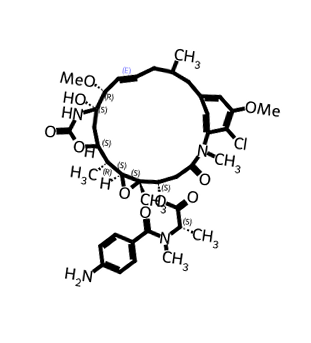 COc1cc2cc(c1Cl)N(C)C(=O)C[C@H](OC(=O)[C@H](C)N(C)C(=O)c1ccc(N)cc1)[C@]1(C)O[C@H]1[C@H](C)[C@@H]1C[C@@](O)(NC(=O)O1)[C@H](OC)/C=C/CC(C)C2